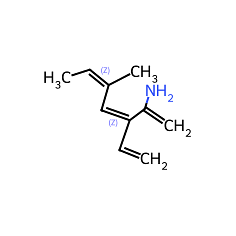 C=C/C(=C/C(C)=C\C)C(=C)N